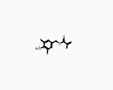 C=C(C)C(=O)OCc1cc(C)c(OC(C)=O)c(C)c1